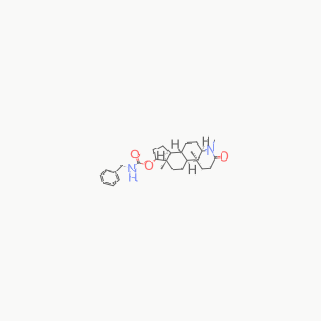 CN1C(=O)CC[C@]2(C)[C@H]3CC[C@]4(C)[C@@H](OC(=O)NCc5ccccc5)CC[C@H]4[C@@H]3CC[C@@H]12